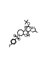 CC(C)C[C@H](NC(=O)OC(C)(C)C)C(=O)NC1CCCN(S(=O)(=O)c2ccc(F)cc2)CC1O